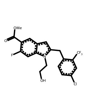 COC(=O)c1cc2cc(Cc3ccc(Cl)cc3C(F)(F)F)n(CCO)c2cc1F